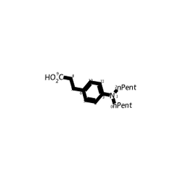 CCCCCN(CCCCC)c1ccc(CCC(=O)O)cc1